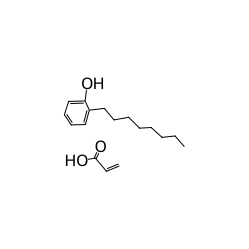 C=CC(=O)O.CCCCCCCCc1ccccc1O